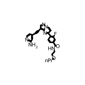 CCCOCCNC(=O)c1ccc(-c2ccn3ncc(C#Cc4ccnc(N)c4)c3n2)c(F)c1